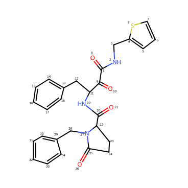 O=C(NCc1cccs1)C(=O)C(Cc1ccccc1)NC(=O)C1CCC(=O)N1Cc1ccccc1